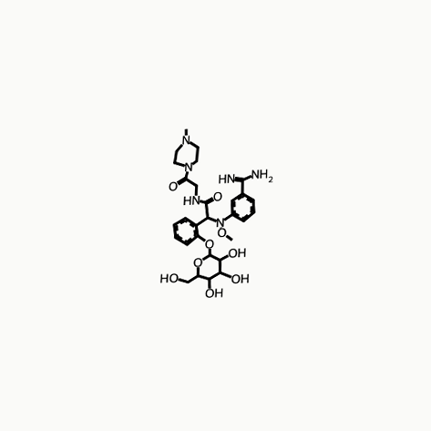 CON(c1cccc(C(=N)N)c1)C(C(=O)NCC(=O)N1CCN(C)CC1)c1ccccc1OC1OC(CO)C(O)C(O)C1O